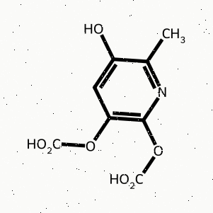 Cc1nc(OC(=O)O)c(OC(=O)O)cc1O